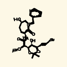 COC(C(=O)N[C@H]1CC[C@@H](O)CN(Cc2cccnc2)C1=O)[C@@H]1OC(C)(C)O[C@H](C=CC(C)(C)C)[C@H]1O